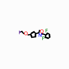 Fc1cccc(F)c1C1=NC(c2ccc(COCCI)cc2)CO1